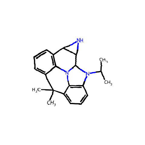 CC(C)N1c2cccc3c2N2c4c(cccc4C3(C)C)C3NC3C21